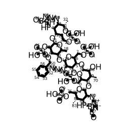 CC1O[C@@H](O[C@@H]2C(COS(=O)(=O)O)O[C@@H](O[C@@H]3C(C)O[C@@H](O[C@@H]4C(COS(=O)(=O)O)O[C@@H](C)C(N=[N+]=[N-])[C@H]4PBB=O)C(OS(=O)(=O)O)[C@@H]3OCc3ccccc3)C(N=[N+]=[N-])[C@H]2OS(=O)(=O)O)C(O)[C@@H](C)[C@@H]1O[C@@H]1OC(COS(=O)(=O)O)[C@@H](C)[C@H](PBB=O)C1N=[N+]=[N-]